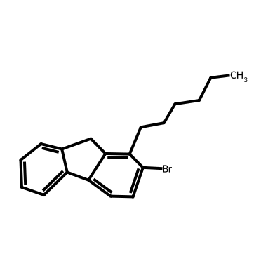 CCCCCCc1c(Br)ccc2c1Cc1ccccc1-2